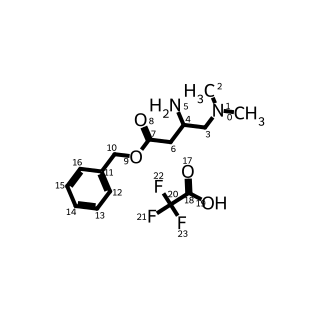 CN(C)CC(N)CC(=O)OCc1ccccc1.O=C(O)C(F)(F)F